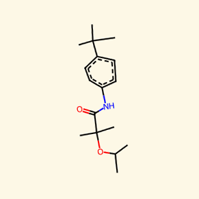 CC(C)OC(C)(C)C(=O)Nc1ccc(C(C)(C)C)cc1